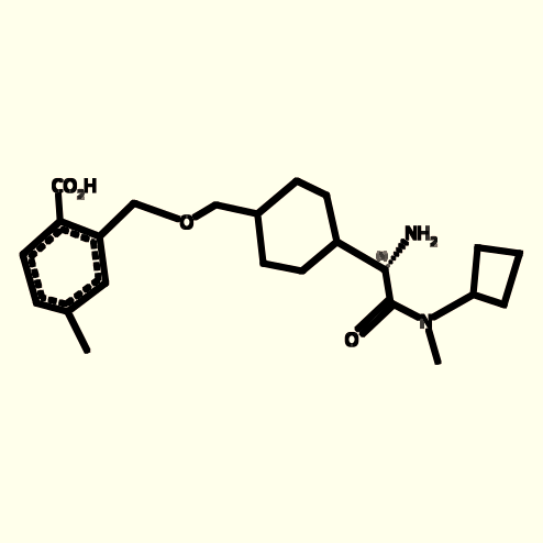 Cc1ccc(C(=O)O)c(COCC2CCC([C@H](N)C(=O)N(C)C3CCC3)CC2)c1